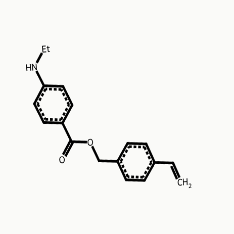 C=Cc1ccc(COC(=O)c2ccc(NCC)cc2)cc1